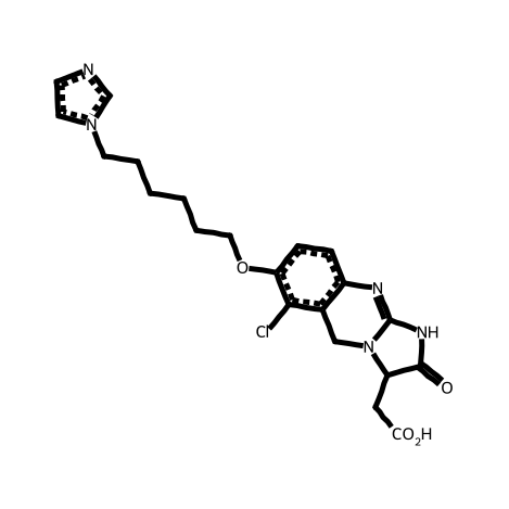 O=C(O)CC1C(=O)NC2=Nc3ccc(OCCCCCCn4ccnc4)c(Cl)c3CN21